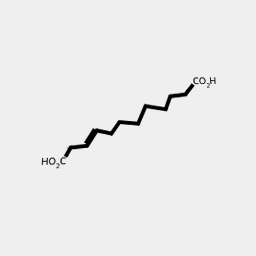 O=C(O)[CH]C=CCCCCCCCC(=O)O